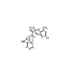 Cc1cc(Cl)ccc1OC(C)(C)C(=O)N1CC[C@@]2(C1)OC(=O)c1ccccc12